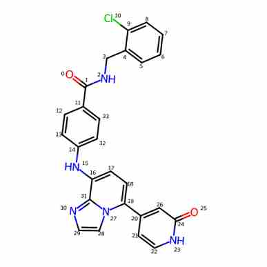 O=C(NCc1ccccc1Cl)c1ccc(Nc2ccc(-c3cc[nH]c(=O)c3)n3ccnc23)cc1